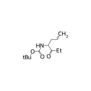 C=CCC(NC(=O)OC(C)(C)C)C(=O)CC